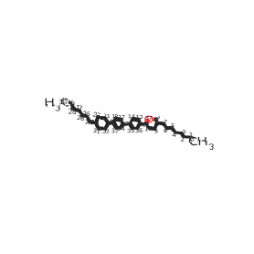 CCCCCCCCC1CCC(c2ccc(-c3ccc(C4CCC(CCCCCCC)CC4)cc3)cc2)OC1